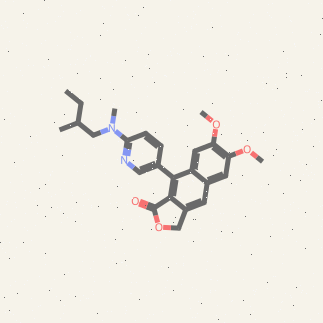 CCC(C)CN(C)c1ccc(-c2c3c(cc4cc(OC)c(OC)cc24)COC3=O)cn1